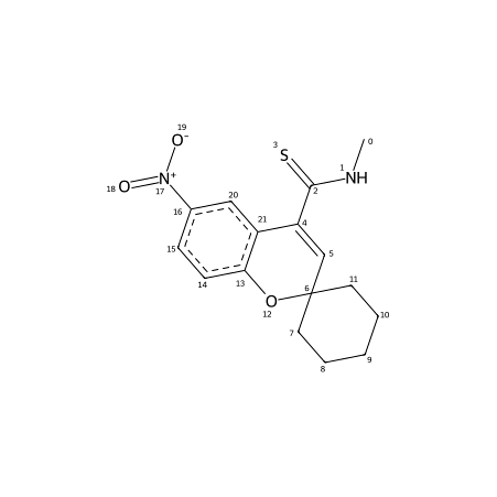 CNC(=S)C1=CC2(CCCCC2)Oc2ccc([N+](=O)[O-])cc21